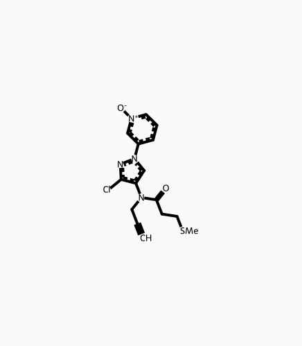 C#CCN(C(=O)CCSC)c1cn(-c2ccc[n+]([O-])c2)nc1Cl